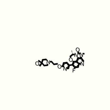 C[C@H]1COc2c(-c3ccc(OCCCN4CCC5(CC4)COC5)nc3)c(F)cc3ncc4c(c23)n1c(=O)n4C